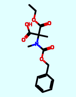 CCOC(=O)C(C)(C(=O)O)N(C)C(=O)OCc1ccccc1